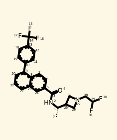 C[C@H](NC(=O)c1ccc2c(-c3ccc(C(F)(F)F)cc3)cccc2c1)C1CN(CC(F)F)C1